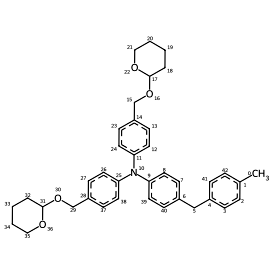 Cc1ccc(Cc2ccc(N(c3ccc(COC4CCCCO4)cc3)c3ccc(COC4CCCCO4)cc3)cc2)cc1